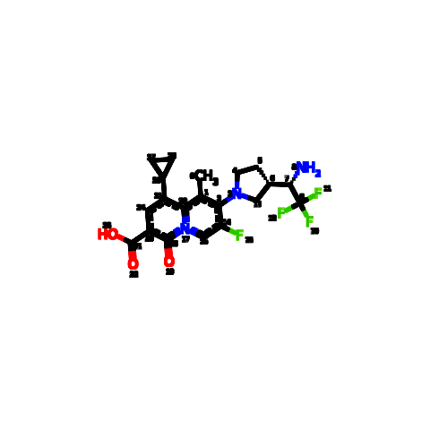 Cc1c(N2CC[C@H]([C@H](N)C(F)(F)F)C2)c(F)cn2c(=O)c(C(=O)O)cc(C3CC3)c12